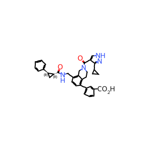 O=C(O)c1cccc(-c2ccc(CNC(=O)[C@@H]3C[C@H]3c3ccccc3)c3c2CCN(C(=O)c2c[nH]nc2C2CC2)C3)c1